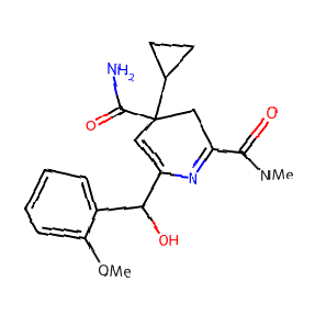 CNC(=O)C1=NC(C(O)c2ccccc2OC)=CC(C(N)=O)(C2CC2)C1